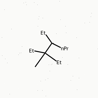 CCC[C](CC)C(C)(CC)CC